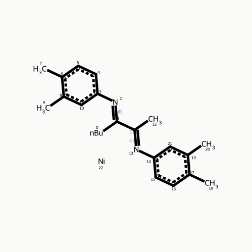 CCCCC(=N\c1ccc(C)c(C)c1)/C(C)=N/c1ccc(C)c(C)c1.[Ni]